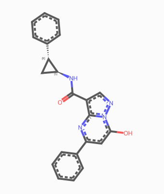 O=C(N[C@H]1C[C@@H]1c1ccccc1)c1cnn2c(O)cc(-c3ccccc3)nc12